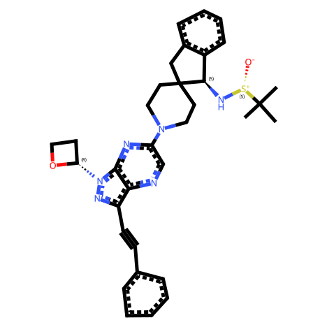 CC(C)(C)[S@@+]([O-])N[C@@H]1c2ccccc2CC12CCN(c1cnc3c(C#Cc4ccccc4)nn([C@H]4CCO4)c3n1)CC2